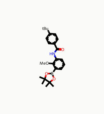 COc1c(NC(=O)c2ccc(C(C)(C)C)cc2)cccc1B1OC(C)(C)C(C)(C)O1